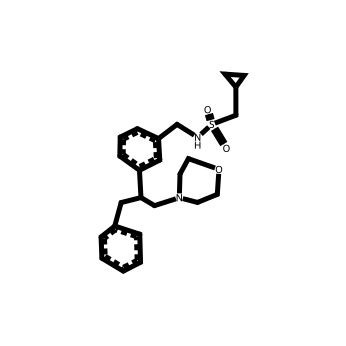 O=S(=O)(CC1CC1)NCc1cccc(C(Cc2ccccc2)CN2CCOCC2)c1